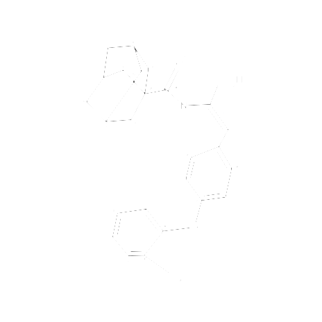 O=C(O)/C(=C/c1ccc(Oc2ccccc2I)cc1)NC(=O)C12CC3CC(CC(C3)C1)C2